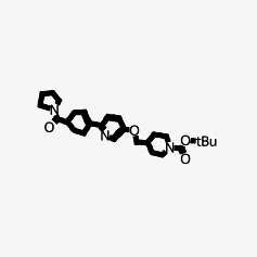 CC(C)(C)OC(=O)N1CCC(COc2ccc(C3=CCC(C(=O)N4CCCC4)CC3)nc2)CC1